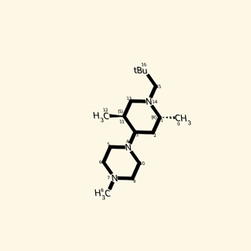 C[C@@H]1CC(N2CCN(C)CC2)[C@@H](C)CN1CC(C)(C)C